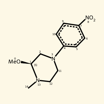 CO[C@H]1CN(c2ccc([N+](=O)[O-])cc2)CCN1C